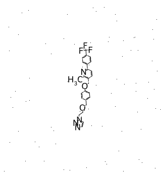 Cc1nc(-c2ccc(C(F)(F)F)cc2)ccc1COc1ccc(COCCn2ccnn2)cc1